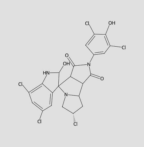 O=C1C2C3C[C@H](Cl)CN3C3(c4cc(Cl)cc(Cl)c4NC3O)C2C(=O)N1c1cc(Cl)c(O)c(Cl)c1